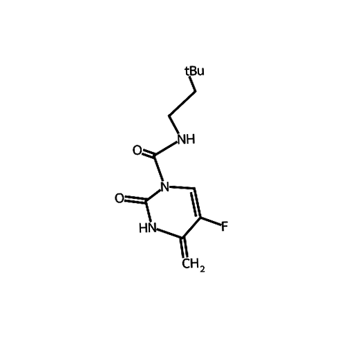 C=C1NC(=O)N(C(=O)NCCC(C)(C)C)C=C1F